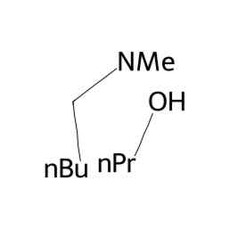 CCCCCNC.CCCO